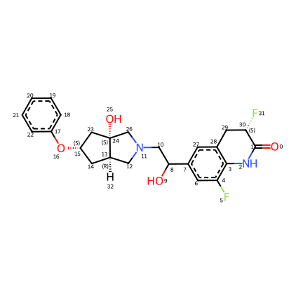 O=C1Nc2c(F)cc(C(O)CN3C[C@H]4C[C@H](Oc5ccccc5)C[C@@]4(O)C3)cc2C[C@@H]1F